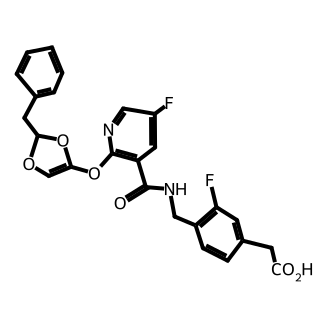 O=C(O)Cc1ccc(CNC(=O)c2cc(F)cnc2OC2=COC(Cc3ccccc3)O2)c(F)c1